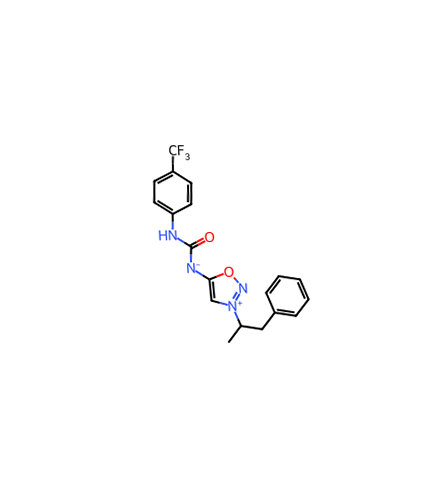 CC(Cc1ccccc1)[n+]1cc([N-]C(=O)Nc2ccc(C(F)(F)F)cc2)on1